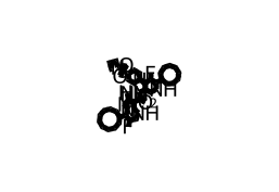 Nc1nn2c(c1C(=O)NC1CNC(C3CCCCCCCC3)C(F)C1N1CCC(S(=O)(=O)N3CCC3)CC1)NCC(F)C2C1CCCCCCCCC1